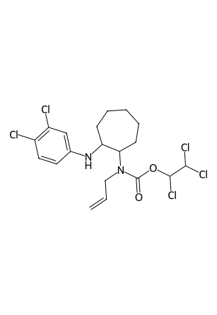 C=CCN(C(=O)OC(Cl)C(Cl)Cl)C1CCCCCC1Nc1ccc(Cl)c(Cl)c1